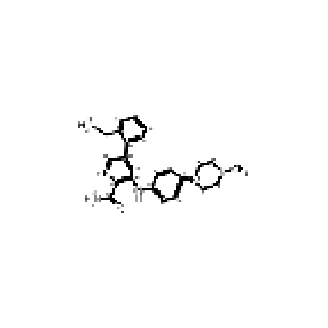 CN1CCN(c2ccc(Nc3cc(-c4ccccc4CN)cnc3C(N)=O)cc2)CC1